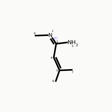 C/N=C(/N)C=C(C)C